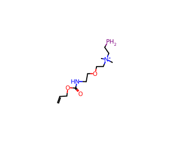 C=CCOC(=O)NCCOCC[N+](C)(C)CCP